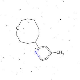 Cc1ccnc(C2CCCCCCCCC2)c1